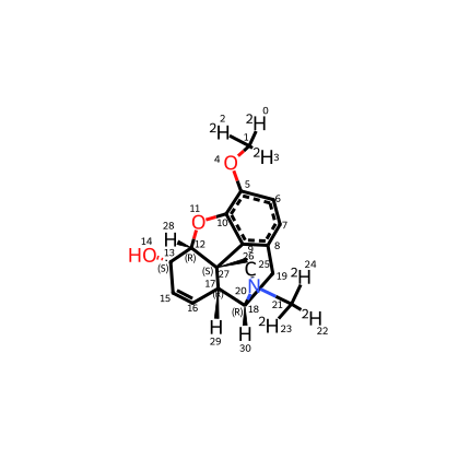 [2H]C([2H])([2H])Oc1ccc2c3c1O[C@H]1[C@@H](O)C=C[C@H]4[C@@H](C2)N(C([2H])([2H])[2H])CC[C@@]341